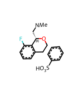 CNC[C@@H]1OCCc2cccc(F)c21.O=S(=O)(O)c1ccccc1